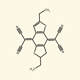 CCc1cc2c(=C(C#N)C#N)c3c(c(=C(C#N)C#N)c2s1)CC(CC)S3